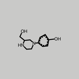 OCC1CN(c2ccc(O)cc2)CCN1